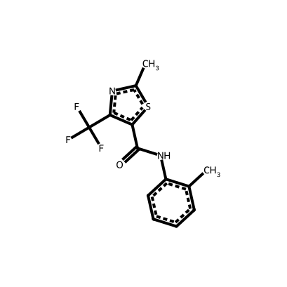 Cc1nc(C(F)(F)F)c(C(=O)Nc2ccccc2C)s1